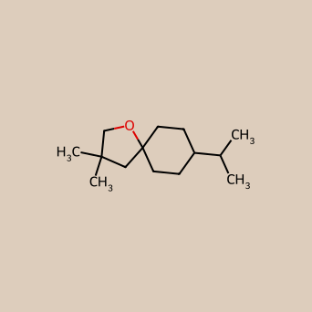 CC(C)C1CCC2(CC1)CC(C)(C)CO2